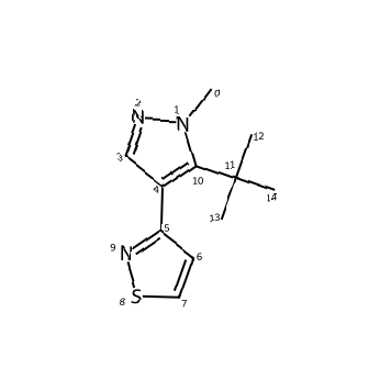 Cn1ncc(-c2ccsn2)c1C(C)(C)C